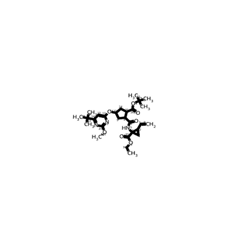 C=CC1CC1(NC(=O)C1CC(Oc2cc(C(C)(C)C)nc(OC)n2)CC1C(=O)OC(C)(C)C)C(=O)OCC